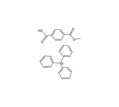 COC(=O)c1ccc(C(=O)O)cc1.c1cc[c]([Sb]([c]2ccccc2)[c]2ccccc2)cc1